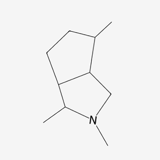 CC1CCC2C1CN(C)C2C